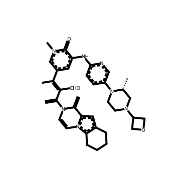 C=C(/C(C=O)=C(\C)c1cc(Nc2ccc(N3CCN(C4COC4)C[C@H]3C)cn2)c(=O)n(C)c1)N1C=Cn2c(cc3c2CCCC3)C1=C